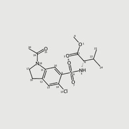 COC(=O)[C@@H](NS(=O)(=O)c1cc2c(cc1Cl)CCN2C(C)=O)C(C)C